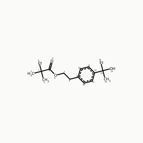 CCC(C)(C)C(=O)OCCc1ccc(C(C)(O)CC)cc1